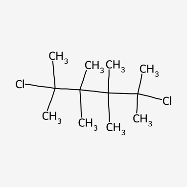 CC(C)(Cl)C(C)(C)C(C)(C)C(C)(C)Cl